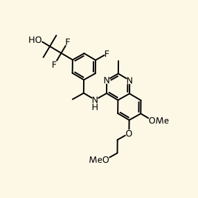 COCCOc1cc2c(NC(C)c3cc(F)cc(C(F)(F)C(C)(C)O)c3)nc(C)nc2cc1OC